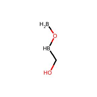 BOBCO